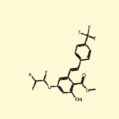 COC(=O)c1c(O)cc(OC(F)C(F)F)cc1C=Cc1ccc(C(F)(F)F)cc1